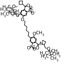 COc1cc(C(=O)N2CCC2CO[Si](C)(C)C(C)(C)C)c([N+](=O)[O-])cc1CCCCCCOc1cc([N+](=O)[O-])c(C(=O)C2CC[C@H]2CO[Si](C)(C)C(C)(C)C)cc1OC